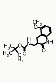 COc1cccc2c1CC(CNC(=O)OC(C)(C)C)C(=O)N2